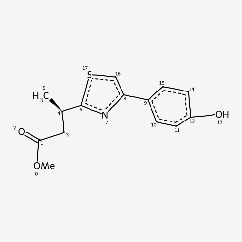 COC(=O)C[C@@H](C)c1nc(-c2ccc(O)cc2)cs1